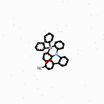 N#Cc1ccc(-c2ccccc2N2c3ccccc3[Si](c3ccccc3)(c3ccccc3)c3ccccc32)cc1